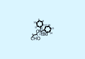 CC(C)(C)[Si](OCCC=O)(c1ccccc1)c1ccccc1